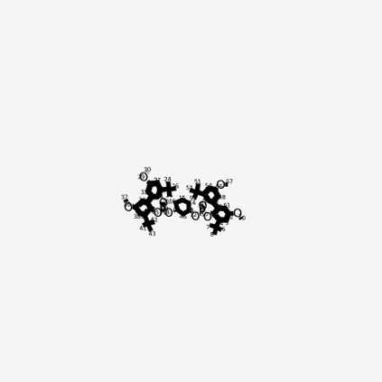 COc1cc(C(C)(C)C)c2op(O[C@@H]3CCC[C@@H](Op4oc5c(C(C)(C)C)cc(OC)cc5c5cc(OC)cc(C(C)(C)C)c5o4)C3)oc3c(C(C)(C)C)cc(OC)cc3c2c1